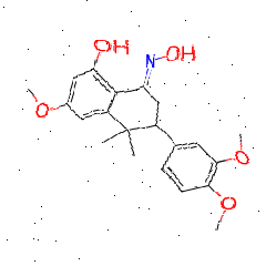 COc1cc(O)c2c(c1)C(C)(C)C(c1ccc(OC)c(OC)c1)C/C2=N\O